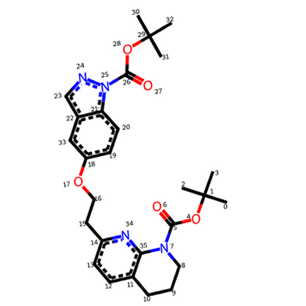 CC(C)(C)OC(=O)N1CCCc2ccc(CCOc3ccc4c(cnn4C(=O)OC(C)(C)C)c3)nc21